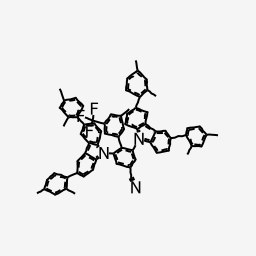 Cc1cc(-c2c(-n3c4ccc(-c5ccc(C)cc5C)cc4c4cc(-c5ccc(C)cc5C)ccc43)cc(C#N)cc2-n2c3ccc(-c4ccc(C)cc4C)cc3c3cc(-c4ccc(C)cc4C)ccc32)cc(C(F)(F)F)c1